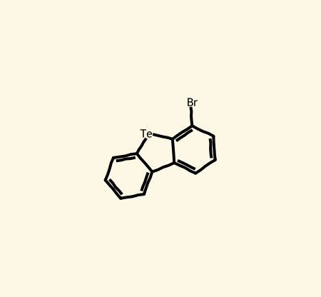 Brc1cccc2c1[te]c1ccccc12